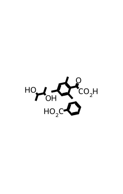 CC(O)C(C)O.Cc1cc(C)c(C(=O)C(=O)O)c(C)c1.O=C(O)c1ccccc1